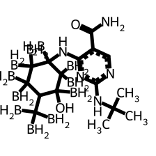 BC(B)(B)C1C(B)(B)C(B)(B)C(B)(Nc2nc(NC(C)(C)C)ncc2C(N)=O)C(B)(B)C1(B)O